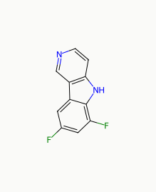 Fc1cc(F)c2[nH]c3ccncc3c2c1